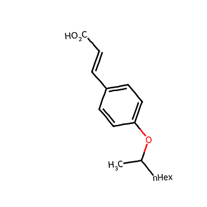 CCCCCCC(C)Oc1ccc(C=CC(=O)O)cc1